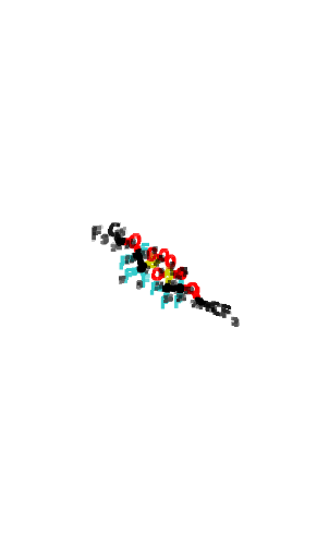 O=S(=O)(OS(=O)(=O)C(F)(F)C(F)(F)OCC(F)(F)F)C(F)(F)C(F)(F)OCC(F)(F)F